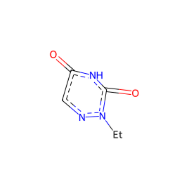 CCn1ncc(=O)[nH]c1=O